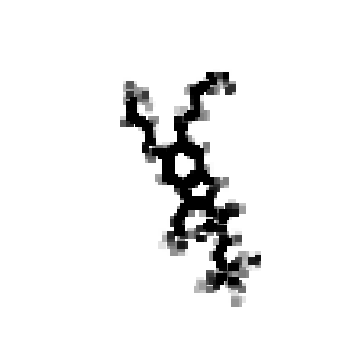 CCc1c(S(=O)(=O)NCP(=O)(O)O)sc2cc(OCCN)c(OCCN)cc12